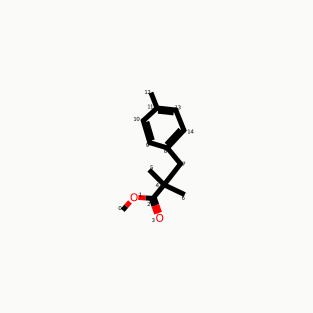 COC(=O)C(C)(C)Cc1ccc(C)cc1